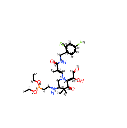 CCOP(CCNC1CN(/C=C(\C)C(=O)NCc2ccc(F)cc2F)/C(=C(/O)C=O)C(=O)C1(C)C)OCC